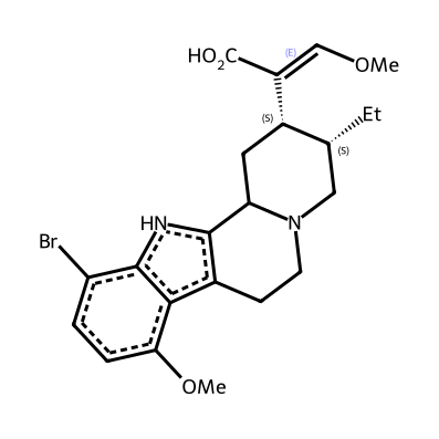 CC[C@@H]1CN2CCc3c([nH]c4c(Br)ccc(OC)c34)C2C[C@@H]1/C(=C\OC)C(=O)O